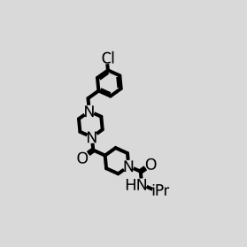 CC(C)NC(=O)N1CCC(C(=O)N2CCN(Cc3cccc(Cl)c3)CC2)CC1